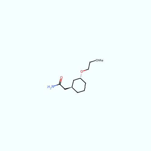 COCCO[C@@H]1CCC[C@@H](CC(N)=O)C1